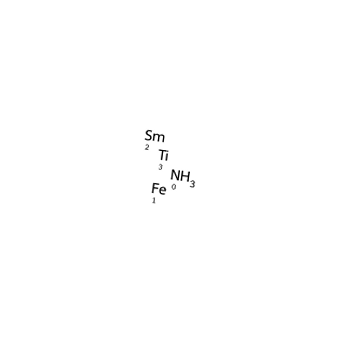 N.[Fe].[Sm].[Ti]